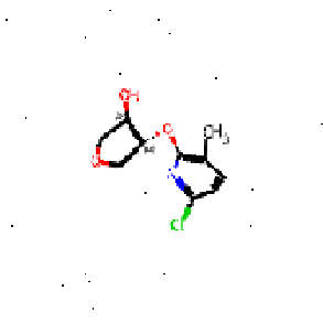 Cc1ccc(Cl)nc1O[C@@H]1COC[C@H]1O